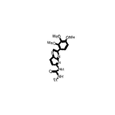 CCNC(=O)Nc1ccc2ncc(-c3ccc(OC)c(OC)c3OC)nc2n1